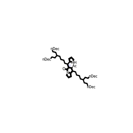 CCCCCCCCCCCCC(CCCCCCCCCCCC)CCCC/C(c1ccc[nH]1)=c1/c(C(C)=O)c(CCCCC(CCCCCCCCCCCC)CCCCCCCCCCCC)c2cccn2c1=O